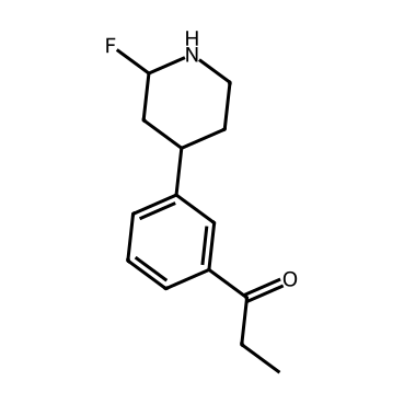 CCC(=O)c1cccc(C2CCNC(F)C2)c1